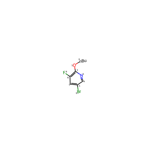 CCCCOc1ncc(Br)cc1F